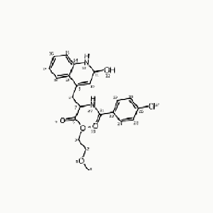 COCCOC(=O)C(CC1=CC(O)Nc2ccccc21)NC(=O)c1ccc(Cl)cc1